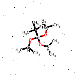 [CH2]CC(C)(C)[Si](O[SiH](C)C)(O[SiH](C)C)O[SiH](C)C